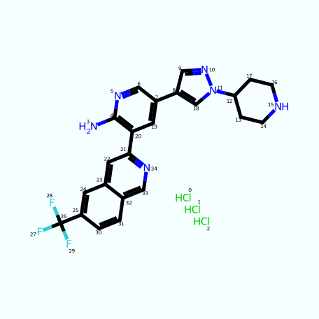 Cl.Cl.Cl.Nc1ncc(-c2cnn(C3CCNCC3)c2)cc1-c1cc2cc(C(F)(F)F)ccc2cn1